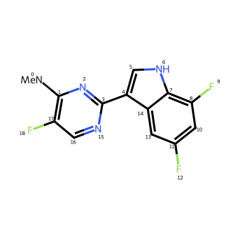 CNc1nc(-c2c[nH]c3c(F)cc(F)cc23)ncc1F